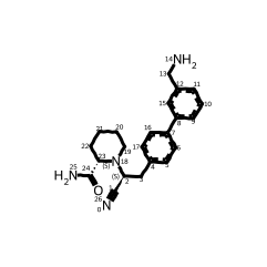 N#C[C@H](Cc1ccc(-c2cccc(CN)c2)cc1)N1CCCC[C@H]1C(N)=O